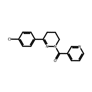 O=C(c1cccnc1)N1CCCC(c2ccc(Cl)cc2)=N1